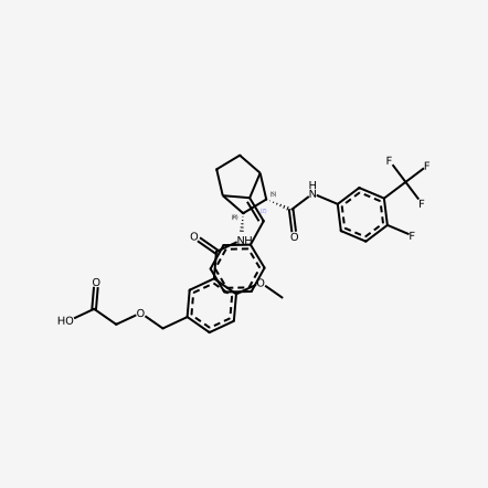 COc1ccc(COCC(=O)O)cc1C(=O)N[C@@H]1C2CCC(/C2=C/c2ccccc2)[C@@H]1C(=O)Nc1ccc(F)c(C(F)(F)F)c1